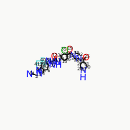 N#CCn1cc(Cc2cnc(C(=O)Nc3ccc(C(=O)N4CCN(C(=O)C5CCNCC5)CC4)c(Cl)c3)[nH]2)c(C(F)(F)F)n1